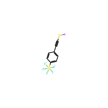 FS(F)(F)(F)(F)c1ccc(C#CSI)cc1